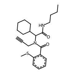 C#CCN(C(=O)c1ccccc1SC)C(C(=O)NCCCC)C1CCCCC1